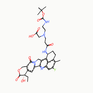 CC[C@@]1(O)C(=O)OCc2c1cc1n(c2=O)Cc2c-1nc1cc(F)c(C)c3c1c2[C@@H](NC(=O)CCN(CCNC(=O)OC(C)(C)C)CC(=O)O)CC3